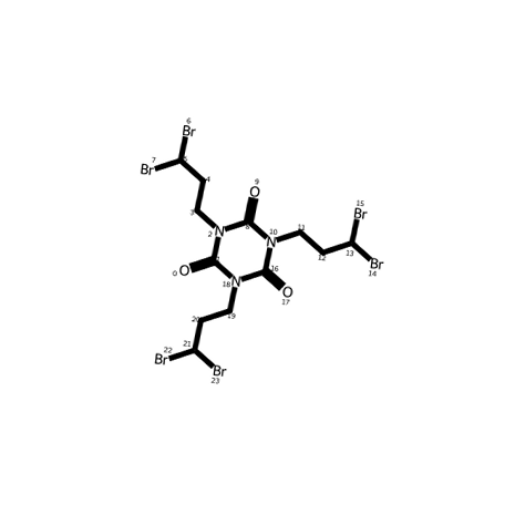 O=c1n(CCC(Br)Br)c(=O)n(CCC(Br)Br)c(=O)n1CCC(Br)Br